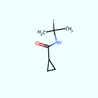 CC(C)(I)NC(=O)C1CC1